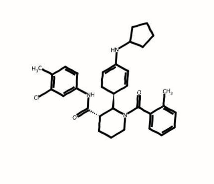 Cc1ccc(NC(=O)[C@H]2CCCN(C(=O)c3ccccc3C)C2[C@@H]2C=CC(NC3CCCC3)=CC2)cc1Cl